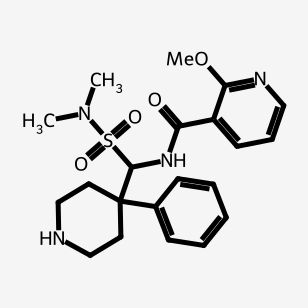 COc1ncccc1C(=O)NC(C1(c2ccccc2)CCNCC1)S(=O)(=O)N(C)C